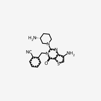 N#Cc1ccccc1Cn1c(N2CCC[C@@H](N)C2)nc2c(N)csc2c1=O